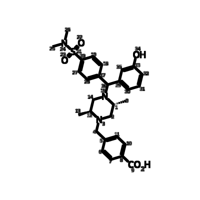 C[C@@H]1CN(Cc2ccc(C(=O)O)cc2)[C@@H](C)CN1C(c1ccc(S(=O)(=O)N(C)C)cc1)c1cccc(O)c1